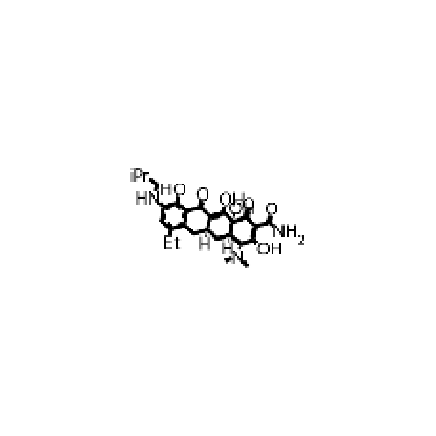 CCc1cc(NCC(C)C)c(O)c2c1C[C@@H]1C[C@@H]3[C@@H](N(C)C)C(O)=C(C(N)=O)C(=O)[C@]3(O)C(O)=C1C2=O